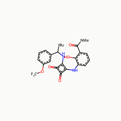 CNC(=O)c1cccc(Nc2c(NC(c3cccc(OC(F)(F)F)c3)C(C)(C)C)c(=O)c2=O)c1O